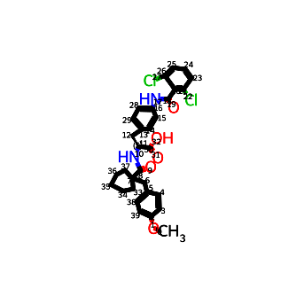 COc1ccc(CC2(C(=O)N[C@@H](Cc3ccc(NC(=O)c4c(Cl)cccc4Cl)cc3)C(=O)O)CCCCC2)cc1